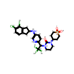 O=C1N(C2CCS(=O)(=O)CC2)CCCN1C(c1ccc(NC2Cc3ccc(Cl)c(F)c3C2)cn1)C(F)(F)F